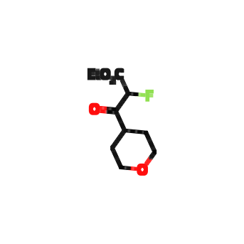 CCOC(=O)C(F)C(=O)C1CCOCC1